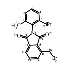 Cc1cccc(C(C)C)c1N1C(=O)c2cccc(CBr)c2C1=O